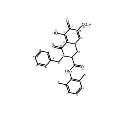 Cc1cccc(C)c1NC(=O)C1Cn2cc(C(=O)O)c(=O)c(O)c2C(=O)N1Cc1ccccc1